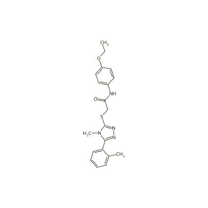 CCOc1ccc(NC(=O)CSc2nnc(-c3ccccc3C)n2C)cc1